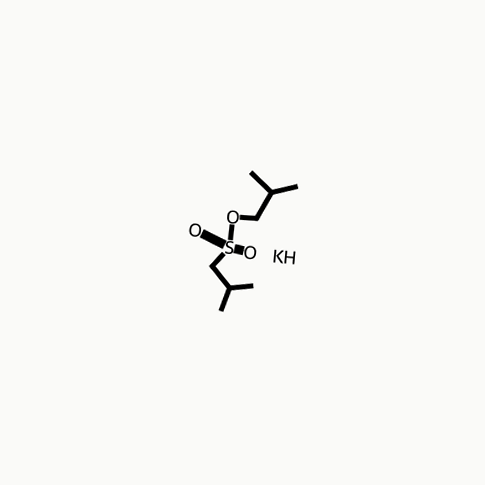 CC(C)COS(=O)(=O)CC(C)C.[KH]